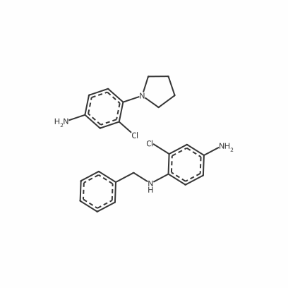 Nc1ccc(N2CCCC2)c(Cl)c1.Nc1ccc(NCc2ccccc2)c(Cl)c1